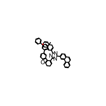 CC12C=CCCC1=CC(c1nc(C3=CCCc4oc5ccc(-c6cccc(-c7ccccc7)c6)cc5c43)nc(-c3ccc4ccc5ccccc5c4c3)n1)=CC2